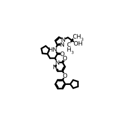 CC(C)(O)Cn1ccc(NC(=O)C(CC2CCCC2)n2ncc(Oc3ccccc3C3CCCC3)cc2=O)n1